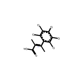 C/C(C(=O)O)=C(/C)c1c(Cl)c(Cl)c(Cl)c(Cl)c1Cl